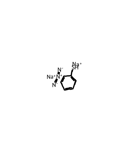 Sc1ccccc1.[N-]=[N+]=[N-].[Na+].[Na+]